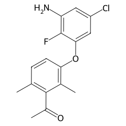 CC(=O)c1c(C)ccc(Oc2cc(Cl)cc(N)c2F)c1C